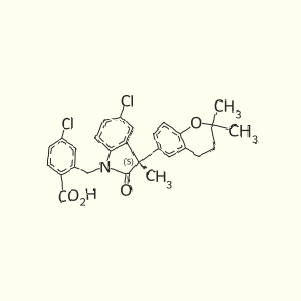 CC1(C)CCc2cc([C@]3(C)C(=O)N(Cc4cc(Cl)ccc4C(=O)O)c4ccc(Cl)cc43)ccc2O1